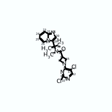 CN(C(=O)C1CN(c2nc(Cl)ncc2Cl)C1)C(C)(C)c1cnc2ccccn12